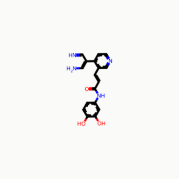 N=C/C(=C\N)c1ccncc1/C=C/C(=O)Nc1ccc(O)c(O)c1